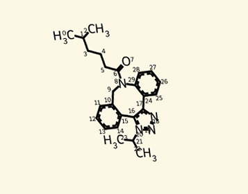 CC(C)CCCC(=O)N1Cc2ccccc2-c2c(nnn2C(C)C)-c2ccccc21